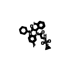 O=C(NC1CCCCC1)[C@H](c1ccccc1I)N(C(=O)CNS(=O)(=O)N1CC1)c1cccc(F)c1